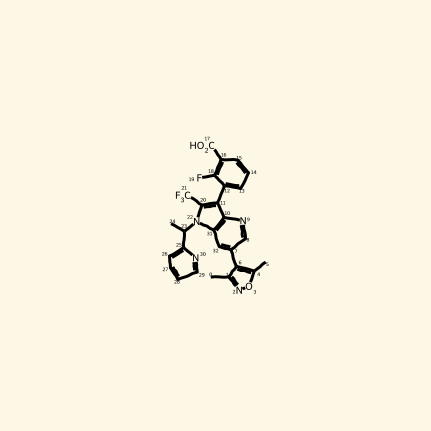 Cc1noc(C)c1-c1cnc2c(-c3cccc(C(=O)O)c3F)c(C(F)(F)F)n(C(C)c3ccccn3)c2c1